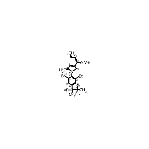 C=C/C=C(/NC)C1=CC(=C)N(c2c(Br)cc(C(F)(C(C)(F)F)C(F)(F)F)cc2CC)C1